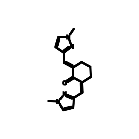 Cn1ccc(/C=C2/CCC/C(=C\c3ccn(C)n3)C2=O)n1